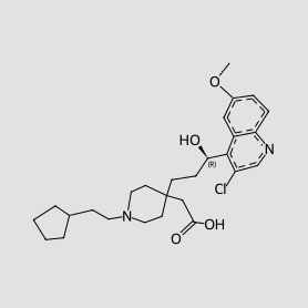 COc1ccc2ncc(Cl)c([C@H](O)CCC3(CC(=O)O)CCN(CCC4CCCC4)CC3)c2c1